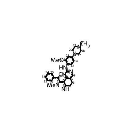 CN/C(=C1\C(=N)CCc2cnc(Nc3ccc(N4CCN(C)CC4)cc3OC)nc21)C(C)c1ccccc1